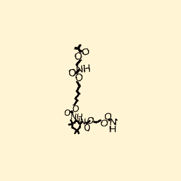 C=C(C)C(=O)OCCNC(=O)OCCCCCCCOC(=O)NCC1(C)CC(NC(=O)OCCOC(=O)NC)CC(C)(C)C1